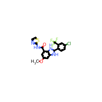 COc1cc2c(c(C(=O)Nc3nccs3)c1)NC(c1ccc(Cl)cc1C(F)(F)F)N2